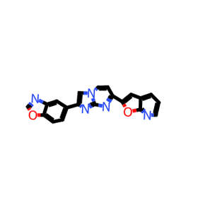 c1cnc2oc(-c3ccn4cc(-c5ccc6ocnc6c5)nc4n3)cc2c1